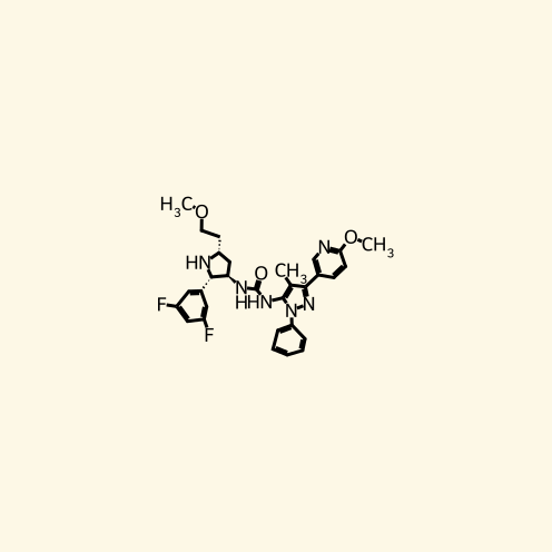 COCC[C@@H]1C[C@@H](NC(=O)Nc2c(C)c(-c3ccc(OC)nc3)nn2-c2ccccc2)[C@H](c2cc(F)cc(F)c2)N1